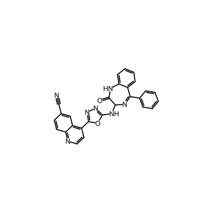 N#Cc1ccc2nccc(-c3nnc(NC4N=C(c5ccccc5)c5ccccc5NC4=O)o3)c2c1